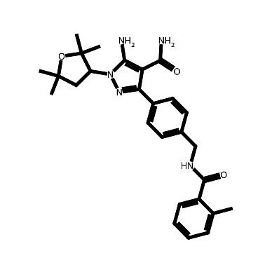 Cc1ccccc1C(=O)NCc1ccc(-c2nn(C3CC(C)(C)OC3(C)C)c(N)c2C(N)=O)cc1